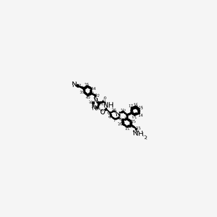 C[C@H](NC(=O)C1CCCN(CC(c2ccccc2)c2cccc(CN)c2)C1)c1cncn1Cc1ccc(C#N)cc1